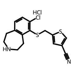 Cl.N#Cc1csc(CSc2c(Cl)ccc3c2CCNCC3)c1